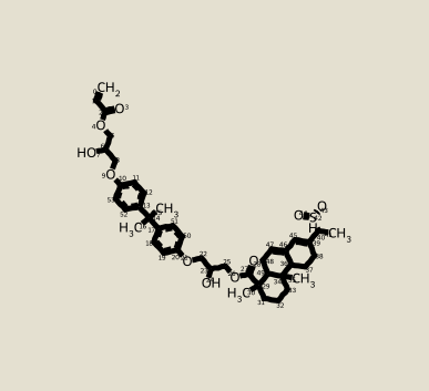 C=CC(=O)OCC(O)COc1ccc(C(C)(C)c2ccc(OCC(O)COC(=O)C3(C)CCCC4(C)C5CCC(C(C)[SH](=O)=O)=CC5=CCC34)cc2)cc1